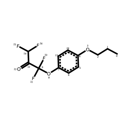 CCCOc1ccc(OC(F)(F)C(=O)C(F)F)cc1